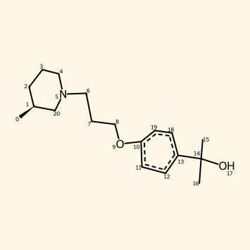 C[C@H]1CCCN(CCCOc2ccc(C(C)(C)O)cc2)C1